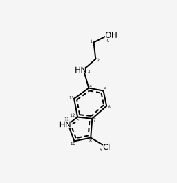 OCCNc1ccc2c(Cl)c[nH]c2c1